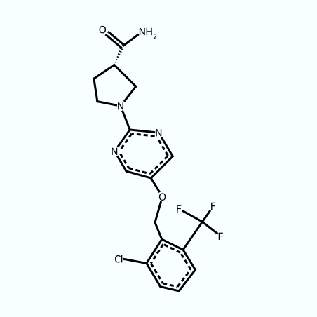 NC(=O)[C@H]1CCN(c2ncc(OCc3c(Cl)cccc3C(F)(F)F)cn2)C1